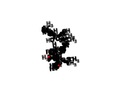 CO[C@@H](C)COc1nc(N2C[C@@H]3C[C@H]2CN3)c2cc(C3CC3)c(-c3c(C)c(F)cc4[nH]ncc34)c(OCc3ccc(-c4cn([C@H](C(=O)N5C[C@H](O)C[C@H]5C(=O)N[C@@H](CO)c5ccc(-c6nccnc6C)cc5)C(C)C)nn4)cc3)c2n1